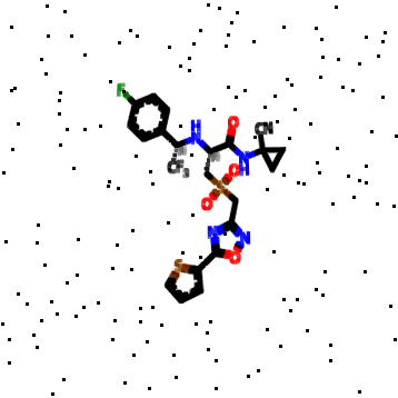 N#CC1(NC(=O)[C@H](CS(=O)(=O)Cc2noc(-c3cccs3)n2)N[C@@H](c2ccc(F)cc2)C(F)(F)F)CC1